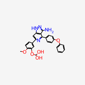 COc1ccc(-c2cc3[nH]nc(N)c3c(-c3ccc(Oc4ccccc4)cc3)n2)cc1OC(O)O